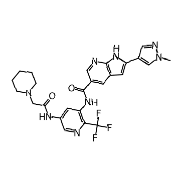 Cn1cc(-c2cc3cc(C(=O)Nc4cc(NC(=O)CN5CCCCC5)cnc4C(F)(F)F)cnc3[nH]2)cn1